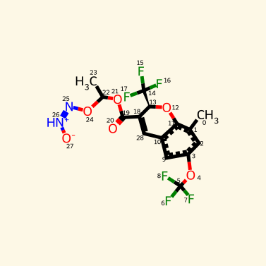 Cc1cc(OC(F)(F)F)cc2c1O[C@H](C(F)(F)F)C(C(=O)OC(C)O/N=[NH+]\[O-])=C2